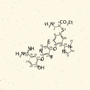 CCOC(=O)C(CN)Sc1ccc(Oc2c(F)cnc(Oc3cc(C(=N)N)ccc3O)c2F)c(C2N=CCN2C)c1